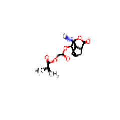 [C-]#[N+]C12OC(=O)C3CC(CC31)C2OC(=O)COC(=O)C(=C)C